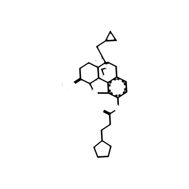 C=C1CC[C@@]2(O)C3Cc4ccc(OC(=O)CCC5CCCC5)c5c4[C@@]2(CCN3CC2CC2)[C@H]1O5